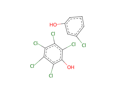 Oc1c(Cl)c(Cl)c(Cl)c(Cl)c1Cl.Oc1cccc(Cl)c1